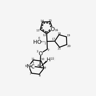 O[C@](CO[C@H]1CN2CCC1CC2)(c1ccco1)C1CCCC1